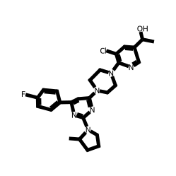 CC(O)c1cnc(N2CCN(c3cc(-c4ccc(F)cc4)nc(N4CCCC4C)n3)CC2)c(Cl)c1